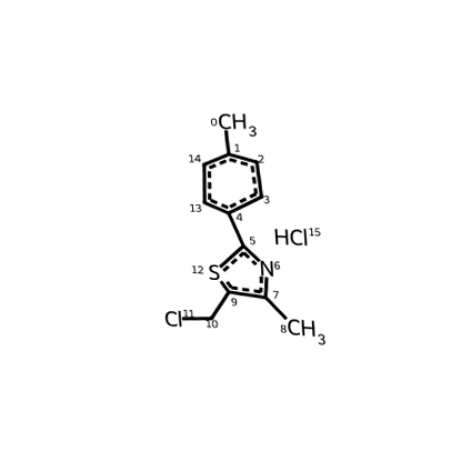 Cc1ccc(-c2nc(C)c(CCl)s2)cc1.Cl